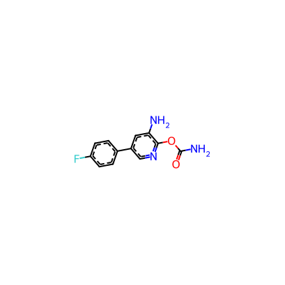 NC(=O)Oc1ncc(-c2ccc(F)cc2)cc1N